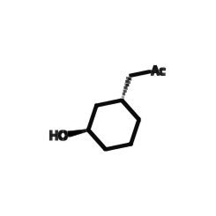 CC(=O)C[C@@H]1CCC[C@@H](O)C1